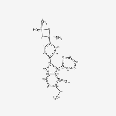 C[C@]1(O)C[C@](N)(c2ccc(-c3sc4ncn(CC(F)(F)F)c(=O)c4c3-c3ccccc3)cc2)C1